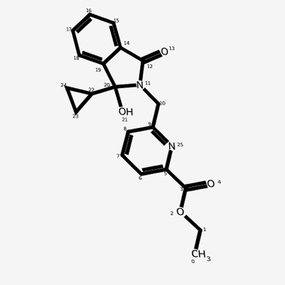 CCOC(=O)c1cccc(CN2C(=O)c3ccccc3C2(O)C2CC2)n1